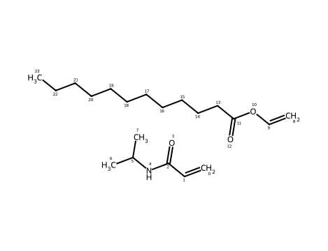 C=CC(=O)NC(C)C.C=COC(=O)CCCCCCCCCCC